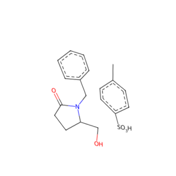 Cc1ccc(S(=O)(=O)O)cc1.O=C1CCC(CO)N1Cc1ccccc1